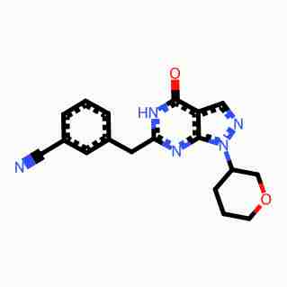 N#Cc1cccc(Cc2nc3c(cnn3C3CCCOC3)c(=O)[nH]2)c1